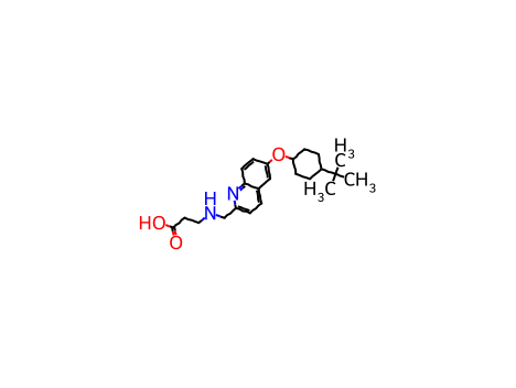 CC(C)(C)C1CCC(Oc2ccc3nc(CNCCC(=O)O)ccc3c2)CC1